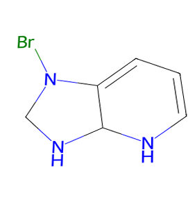 BrN1CNC2NC=CC=C21